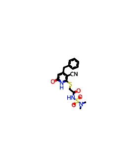 CN(C)S(=O)(=O)NC(=O)CSc1[nH]c(=O)cc(Cc2ccccc2)c1C#N